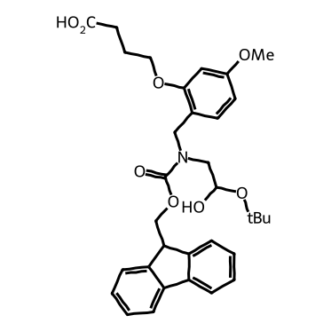 COc1ccc(CN(CC(O)OC(C)(C)C)C(=O)OCC2c3ccccc3-c3ccccc32)c(OCCCC(=O)O)c1